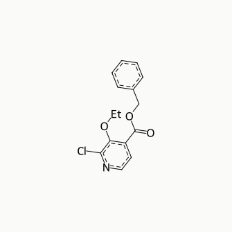 CCOc1c(C(=O)OCc2ccccc2)ccnc1Cl